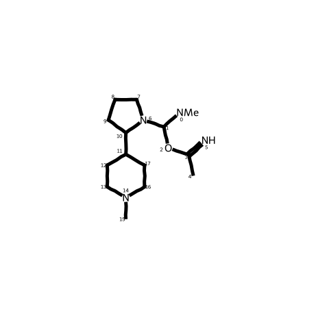 CNC(OC(C)=N)N1CCCC1C1CCN(C)CC1